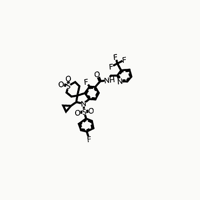 O=C(NCc1ncccc1C(F)(F)F)c1ccc2c(c1F)C1(CCS(=O)(=O)CC1)C(C1CC1)N2S(=O)(=O)c1ccc(F)cc1